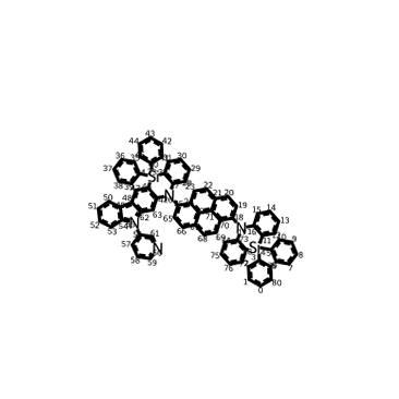 c1ccc([Si]2(c3ccccc3)c3ccccc3N(c3ccc4ccc5c(N6c7ccccc7[Si](c7ccccc7)(c7ccccc7)c7cc8c9ccccc9n(-c9cccnc9)c8cc76)ccc6ccc3c4c65)c3ccccc32)cc1